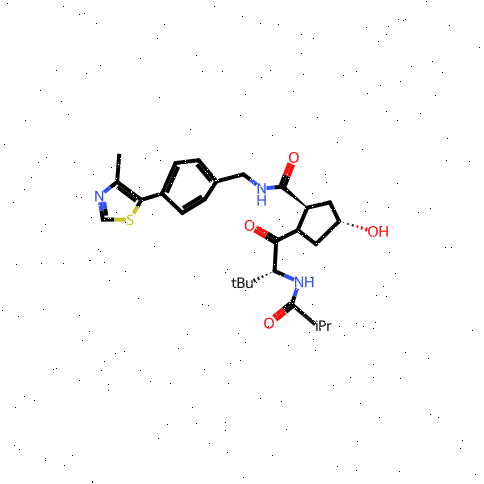 Cc1ncsc1-c1ccc(CNC(=O)[C@H]2C[C@H](O)CC2C(=O)[C@H](NC(=O)C(C)C)C(C)(C)C)cc1